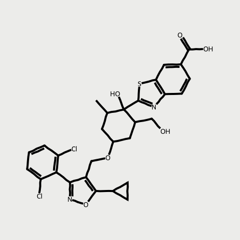 CC1CC(OCc2c(-c3c(Cl)cccc3Cl)noc2C2CC2)CC(CO)C1(O)c1nc2ccc(C(=O)O)cc2s1